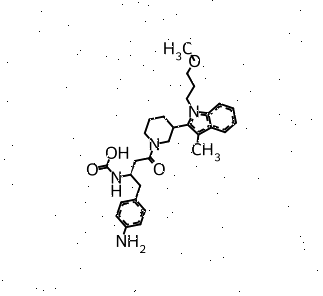 COCCCn1c(C2CCCN(C(=O)C[C@@H](Cc3ccc(N)cc3)NC(=O)O)C2)c(C)c2ccccc21